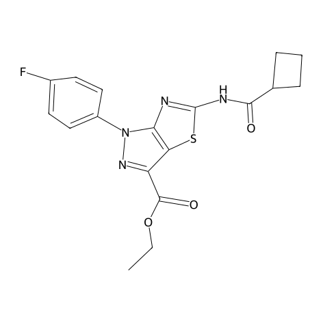 CCOC(=O)c1nn(-c2ccc(F)cc2)c2nc(NC(=O)C3CCC3)sc12